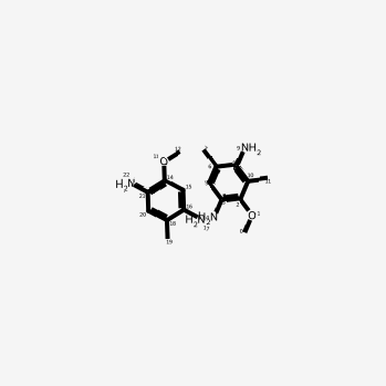 COc1c(N)cc(C)c(N)c1C.COc1cc(N)c(C)cc1N